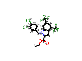 CCOC(=O)c1cc2c(C(F)(F)F)cc(C(F)(F)F)cc2n1Cc1ccc(Cl)c(Cl)c1